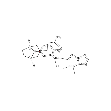 Cc1c(-c2[nH]c3ccc(N4[C@@H]5CC[C@H]4CN(CCC(N)=O)C5)nc3c2C(C)C)cn2ncnc2c1C